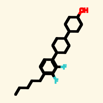 CCCCCc1ccc(C2CCC(C3CCC(O)CC3)CC2)c(F)c1F